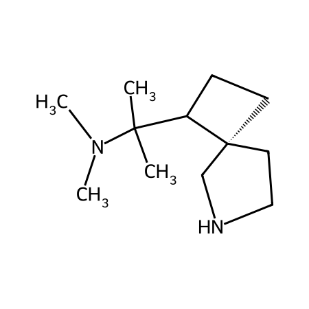 CN(C)C(C)(C)C1CC[C@@]12CCNC2